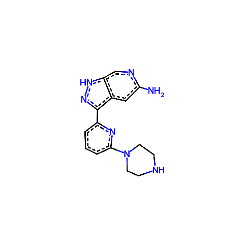 Nc1cc2c(-c3cccc(N4CCNCC4)n3)n[nH]c2cn1